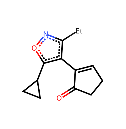 CCc1noc(C2CC2)c1C1=CCCC1=O